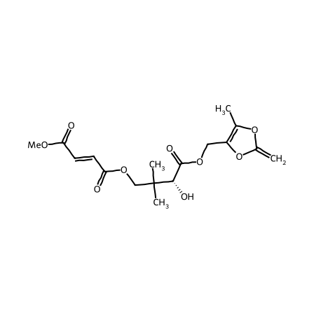 C=C1OC(C)=C(COC(=O)[C@H](O)C(C)(C)COC(=O)/C=C/C(=O)OC)O1